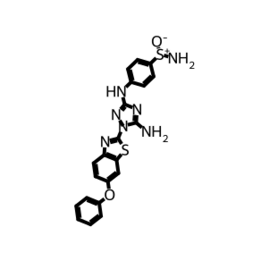 Nc1nc(Nc2ccc([S+](N)[O-])cc2)nn1-c1nc2ccc(Oc3ccccc3)cc2s1